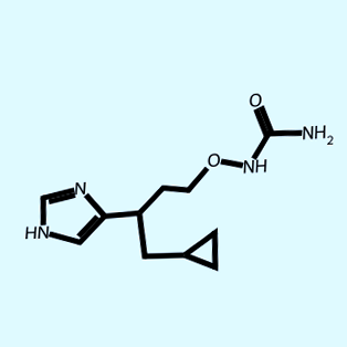 NC(=O)NOCCC(CC1CC1)c1c[nH]cn1